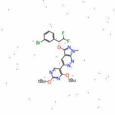 Cn1nc(O[C@H](c2cccc(Br)c2)C(F)F)c2cc(-c3cnc(OC(C)(C)C)nc3OC(C)(C)C)nnc21